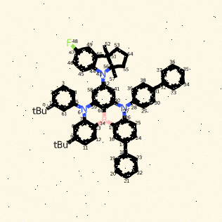 CC(C)(C)c1cccc(N2c3cc(C(C)(C)C)ccc3B3c4cc(-c5ccccc5)ccc4N(c4ccc(-c5ccccc5)cc4)c4cc(N5c6ccc(F)cc6C6(C)CCCC56C)cc2c43)c1